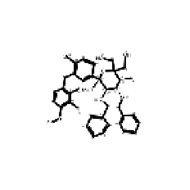 CCOc1ccc(Cc2cc([C@]3(OC)OC(CO)(CO)[C@@H](C)[C@H](OCc4ccccc4)[C@H]3OCc3ccccc3)ccc2Cl)c(F)c1F